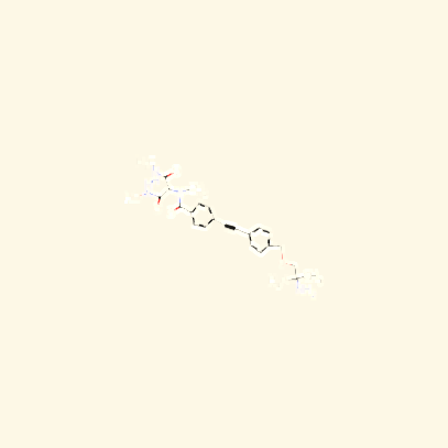 CNC(=O)C(C(=O)NO)N(C)C(=O)c1ccc(C#Cc2ccc(COCC(C)(C)N)cc2)cc1